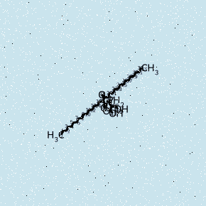 CCCCCCCCC=CCCCCCCC(C(=O)CCCCCCCCCCCCCCC)C(=O)N(P)C(CO)C(=O)O